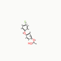 CC(O)Oc1ccc(Oc2ccc(F)cc2)cc1